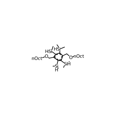 CCCCCCCCOCc1c([SiH](C)C)c([SiH](C)C)c(COCCCCCCCC)c([SiH](C)C)c1[SiH](C)C